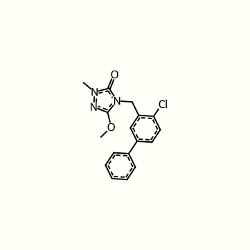 COc1nn(C)c(=O)n1Cc1cc(-c2ccccc2)ccc1Cl